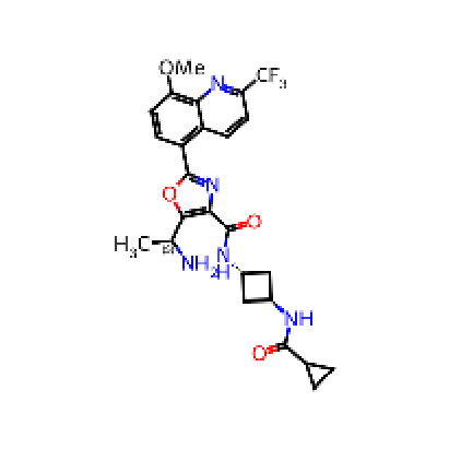 COc1ccc(-c2nc(C(=O)N[C@H]3C[C@H](NC(=O)C4CC4)C3)c([C@H](C)N)o2)c2ccc(C(F)(F)F)nc12